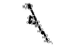 CNC(=O)CCNC(=O)CCc1ccc(NC(=O)COCC(=O)NC[C@@H](NC(=O)CCSC2CC(=O)N(CCC(=O)C3(C(C)=O)SS3)C2=O)C(=O)NCCOCCOCCOCCOCCC(=O)C(C(C)=O)(C(C)=O)C(C)=O)cc1